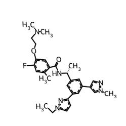 CCn1ccc(-c2cc(-c3cnn(C)c3)cc([C@@H](C)NC(=O)c3cc(OCCN(C)C)c(F)cc3C)c2)n1